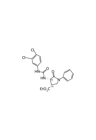 CCOC(=O)[C@H]1CN(c2ccccc2)C(=O)[C@H]1NC(=O)Nc1ccc(Cl)c(Cl)c1